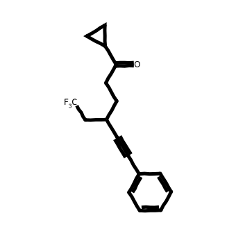 O=C(CCC(C#Cc1ccccc1)CC(F)(F)F)C1CC1